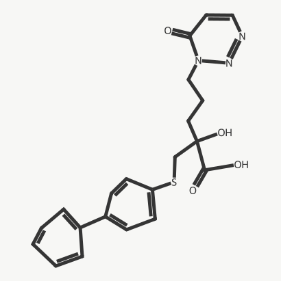 O=C(O)C(O)(CCCn1nnccc1=O)CSc1ccc(-c2ccccc2)cc1